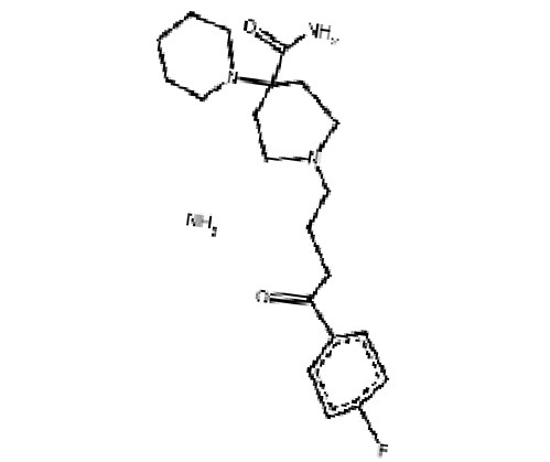 N.NC(=O)C1(N2CCCCC2)CCN(CCCC(=O)c2ccc(F)cc2)CC1